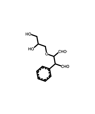 O=[C]C(OCC(O)CO)C(C=O)c1ccccc1